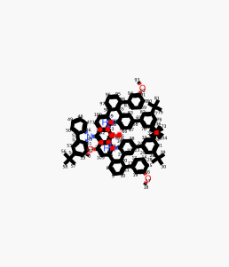 COc1cccc(-c2cccc(-c3cccc(OC)c3)c2-c2cc(-c3cc(C(C)(C)C)cc(C(C)(C)C)c3)cc3c2Nc2cc(-n4c5ccccc5c5cc(C(C)(C)C)ccc54)cc4c2B3c2cc(-c3cc(C(C)(C)C)cc(C(C)(C)C)c3)cc(-c3c(-c5cccc(OC)c5)cccc3-c3cccc(OC)c3)c2N4)c1